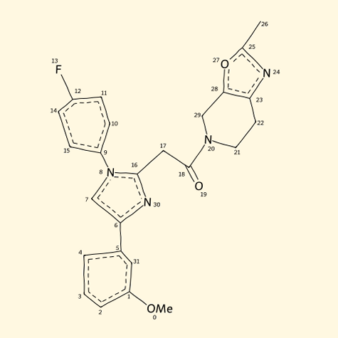 COc1cccc(-c2cn(-c3ccc(F)cc3)c(CC(=O)N3CCc4nc(C)oc4C3)n2)c1